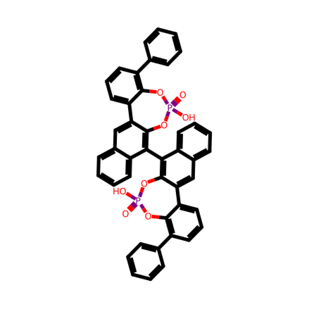 O=P1(O)Oc2c(-c3ccccc3)cccc2-c2cc3ccccc3c(-c3c4c(cc5ccccc35)-c3cccc(-c5ccccc5)c3OP(=O)(O)O4)c2O1